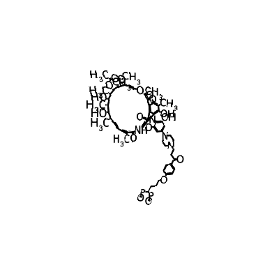 CO[C@H]1/C=C/O[C@@]2(C)Oc3c(C)c(O)c4c(=O)c(c5oc6cc(N7CCN(CCC(=O)c8ccc(OCCCC(P=O)P=O)cc8)CC7)cc(O)c6nc-5c4c3C2=O)NC(=O)/C(C)=C\C=C\[C@H](C)[C@H](O)[C@@H](C)[C@@H](O)[C@@H](C)[C@H](OC(C)=O)[C@@H]1C